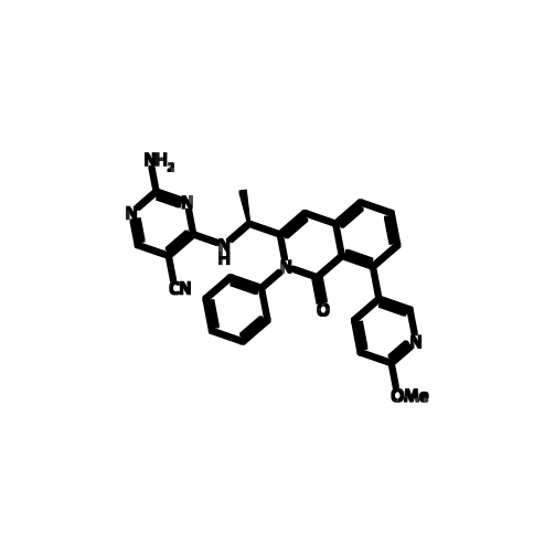 COc1ccc(-c2cccc3cc([C@H](C)Nc4nc(N)ncc4C#N)n(-c4ccccc4)c(=O)c23)cn1